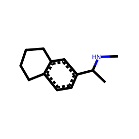 CNC(C)c1ccc2c(c1)CCCC2